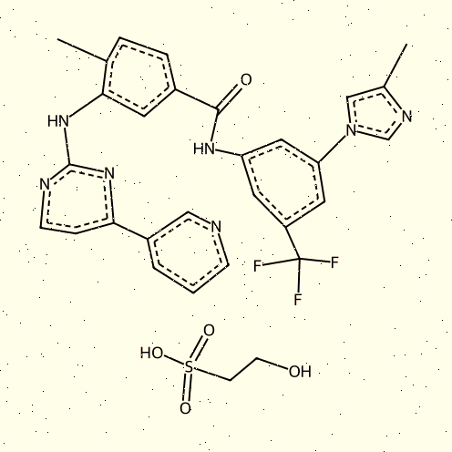 Cc1cn(-c2cc(NC(=O)c3ccc(C)c(Nc4nccc(-c5cccnc5)n4)c3)cc(C(F)(F)F)c2)cn1.O=S(=O)(O)CCO